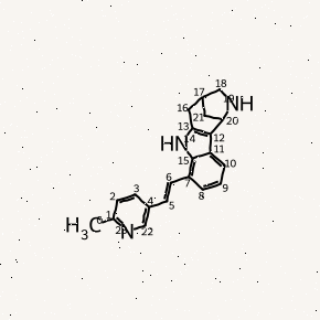 Cc1ccc(C=Cc2cccc3c4c([nH]c23)CC2CNC4C2)cn1